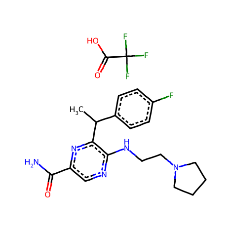 CC(c1ccc(F)cc1)c1nc(C(N)=O)cnc1NCCN1CCCC1.O=C(O)C(F)(F)F